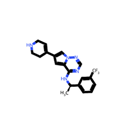 C[C@@H](Nc1ncnn2cc(C3=CCNCC3)cc12)c1cccc(C(F)(F)F)c1